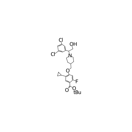 CC(C)(C)OC(=O)c1cc(C2CC2)c(OCC2CCN(C(CO)c3cc(Cl)cc(Cl)c3)CC2)cc1F